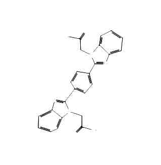 O=C(O)Cn1c(-c2ccc(-c3nc4ccccc4n3CC(=O)O)cc2)nc2ccccc21